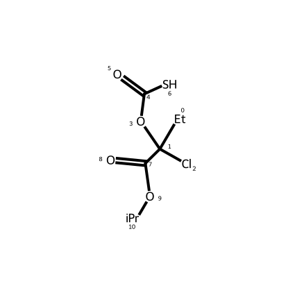 CCC(Cl)(OC(=O)S)C(=O)OC(C)C